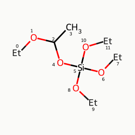 CCOC(C)O[Si](OCC)(OCC)OCC